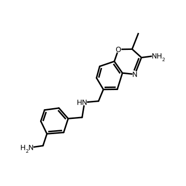 CC1Oc2ccc(CNCc3cccc(CN)c3)cc2N=C1N